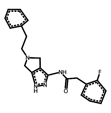 O=C(Cc1ccccc1F)Nc1n[nH]c2c1CN(CCc1ccccc1)C2